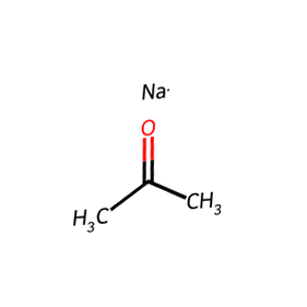 CC(C)=O.[Na]